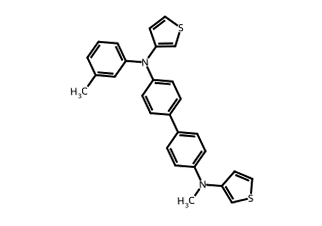 Cc1cccc(N(c2ccc(-c3ccc(N(C)c4ccsc4)cc3)cc2)c2ccsc2)c1